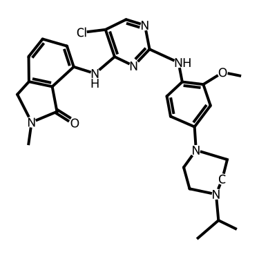 COc1cc(N2CCN(C(C)C)CC2)ccc1Nc1ncc(Cl)c(Nc2cccc3c2C(=O)N(C)C3)n1